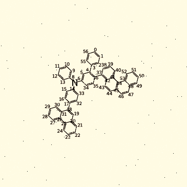 c1ccc(-c2cc(N(c3ccccc3)c3ccc(-c4cc5ccccc5c5ccccc45)cc3)ccc2-c2cccc3c2ccc2ccc4ccccc4c23)cc1